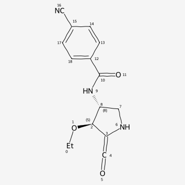 CCO[C@@H]1C(=C=O)NC[C@H]1NC(=O)c1ccc(C#N)cc1